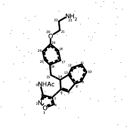 CC(=O)Nc1nocc1C1=Cc2ccccc2C1Cc1ccc(OCCN)cc1